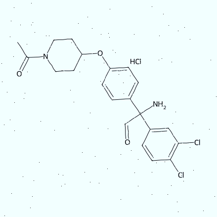 CC(=O)N1CCC(Oc2ccc(C(N)(C=O)c3ccc(Cl)c(Cl)c3)cc2)CC1.Cl